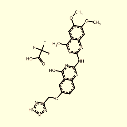 COc1cc2nc(Nc3nc(O)c4cc(OCc5nn[nH]n5)ccc4n3)nc(C)c2cc1OC.O=C(O)C(F)(F)F